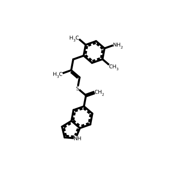 C=C(S/C=C(\C)Cc1cc(C)c(N)cc1C)c1ccc2[nH]ccc2c1